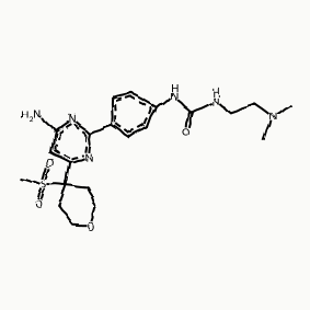 CN(C)CCNC(=O)Nc1ccc(-c2nc(N)cc(C3(S(C)(=O)=O)CCOCC3)n2)cc1